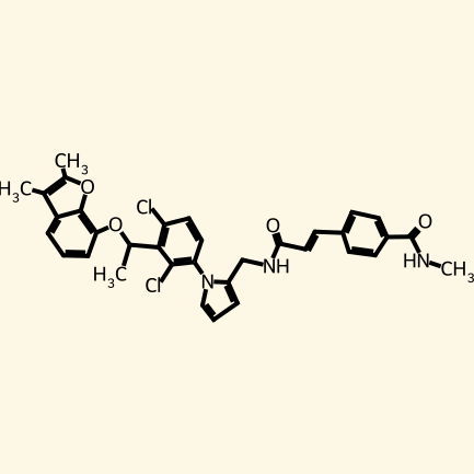 CNC(=O)c1ccc(C=CC(=O)NCc2cccn2-c2ccc(Cl)c(C(C)Oc3cccc4c(C)c(C)oc34)c2Cl)cc1